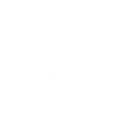 O=C(O)c1ccc(C=CC(c2cc(Cl)c(F)c(Cl)c2)C(F)(F)F)cc1Cl